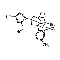 Cc1ccc(C23CC4(C)CC(c5ccc(C)cc5OC#N)(C2)CC(C(C)(C)C)(C4)C3)c(OC#N)c1